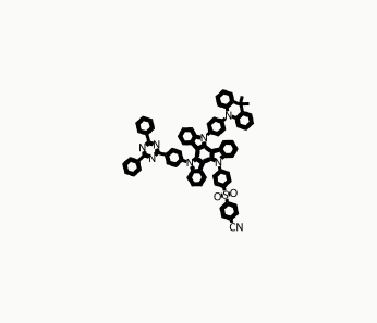 CC1(C)c2ccccc2N(c2ccc(-n3c4ccccc4c4c5c(c6ccccc6n5-c5ccc(-c6nc(-c7ccccc7)nc(-c7ccccc7)n6)cc5)c5c(c6ccccc6n5-c5ccc(S(=O)(=O)c6ccc(C#N)cc6)cc5)c43)cc2)c2ccccc21